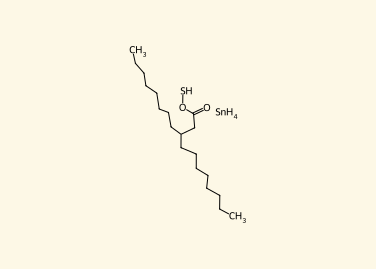 CCCCCCCCC(CCCCCCCC)CC(=O)OS.[SnH4]